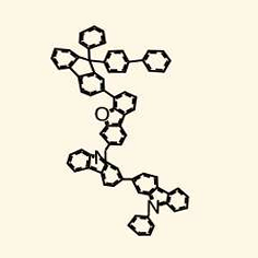 c1ccc(-c2ccc(C3(c4ccccc4)c4ccccc4-c4ccc(-c5cccc6c5oc5cc(-n7c8ccccc8c8ccc(-c9ccc%10c%11ccccc%11n(-c%11ccccc%11)c%10c9)cc87)ccc56)cc43)cc2)cc1